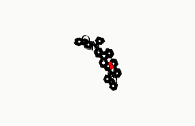 c1ccc(-c2ccccc2N(c2ccc3c(c2)CCc2c-3c3ccccc3c3cc(N(c4ccccc4)c4ccc5c(c4)oc4ccccc45)ccc23)c2cccc3c2oc2ccccc23)cc1